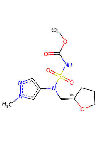 Cn1cc(N(C[C@H]2CCCO2)S(=O)(=O)NC(=O)OC(C)(C)C)cn1